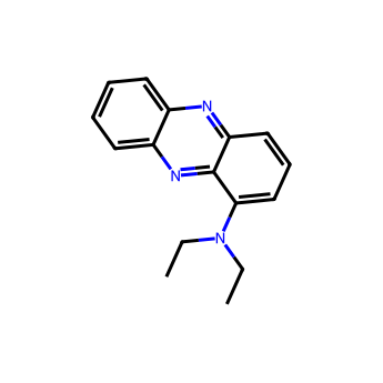 CCN(CC)c1cccc2nc3ccccc3nc12